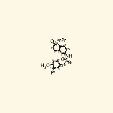 CCCn1c(=O)ccc2cc(NS(=O)(=O)Cc3ccc(C)c(F)c3)ccc21